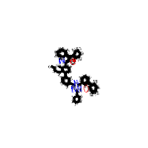 C=C/C=C\c1c(-c2cccc(-c3nc(-c4ccccc4)nc(-c4cccc5c4oc4ccccc45)n3)c2)ccc(-c2nc3ccccc3c3c2oc2ccccc23)c1C